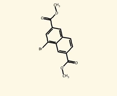 COC(=O)c1cc(Br)c2cc(C(=O)OC)ccc2c1